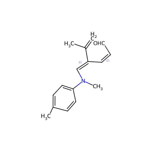 C=C(C)C(/C=C\C=O)=C/N(C)c1ccc(C)cc1